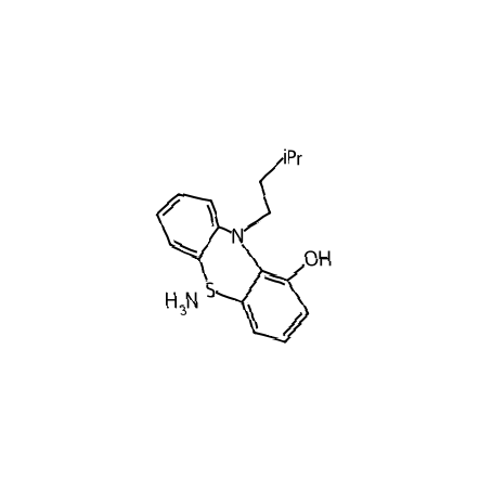 CC(C)CCN1c2ccccc2Sc2cccc(O)c21.N